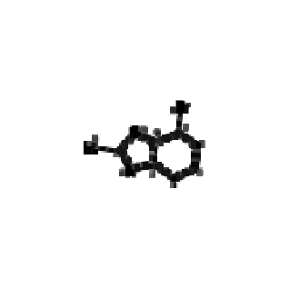 [CH2]Cc1nc2cccc(Br)c2s1